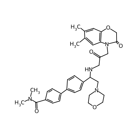 Cc1cc2c(cc1C)N(CC(=O)CNC(CN1CCOCC1)c1ccc(-c3ccc(C(=O)N(C)C)cc3)cc1)C(=O)CO2